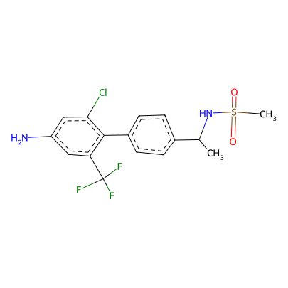 CC(NS(C)(=O)=O)c1ccc(-c2c(Cl)cc(N)cc2C(F)(F)F)cc1